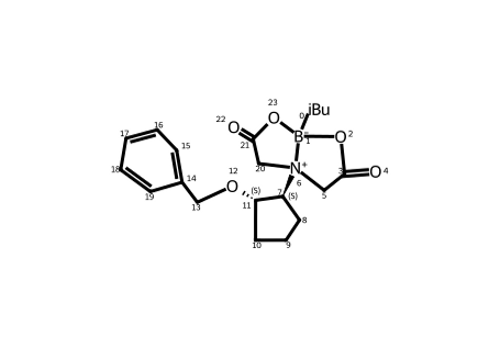 CCC(C)[B-]12OC(=O)C[N+]1([C@H]1CCC[C@@H]1OCc1ccccc1)CC(=O)O2